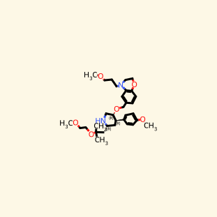 COCCCN1CCOc2ccc(CO[C@H]3CN[C@@H](CC(C)(C)OCCOC)C[C@@H]3c3ccc(OC)cc3)cc21